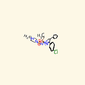 CCSC(=NS(=O)(=O)N1CCCN(C)CC1)N1CC(c2ccccc2)C(c2ccc(Cl)cc2)=N1